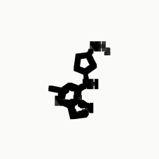 Cc1cc(N[C@H]2CC[C@@H](N)C2)n2nccc2n1